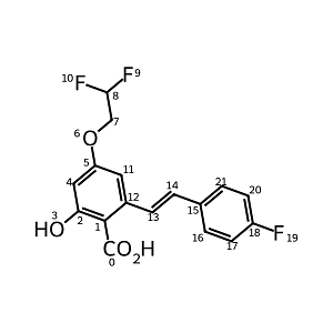 O=C(O)c1c(O)cc(OCC(F)F)cc1C=Cc1ccc(F)cc1